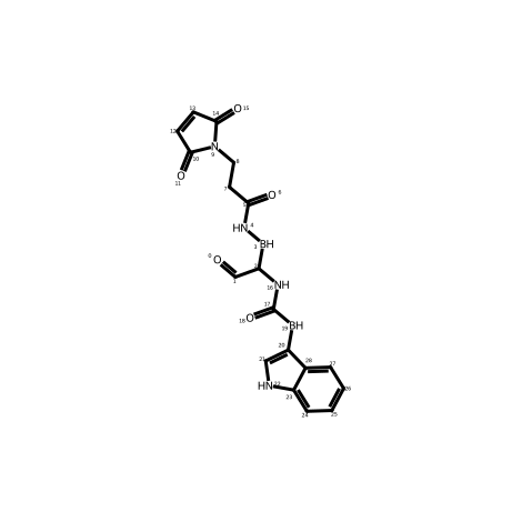 O=CC(BNC(=O)CCN1C(=O)C=CC1=O)NC(=O)Bc1c[nH]c2ccccc12